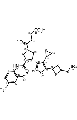 Cc1ccc(NC(=O)[C@H]2CN(C(=O)CCC(=O)O)C[C@@H]2c2noc(C3CC(CC(C)(C)C)C3)c2C2CC2)c(Cl)c1